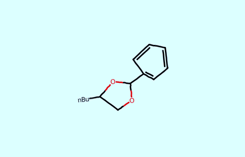 CCCCC1COC(c2ccccc2)O1